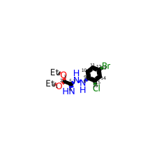 CCOC(OCC)C(=N)NNc1ccc(Br)cc1Cl